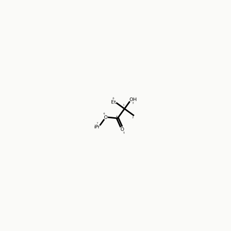 CCC(C)(O)C(=O)OC(C)C